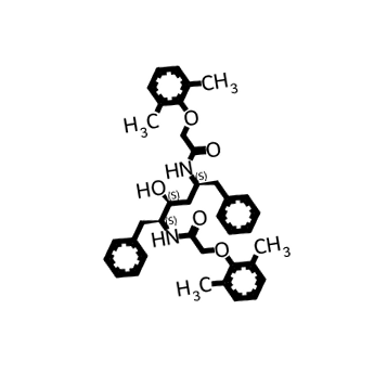 Cc1cccc(C)c1OCC(=O)N[C@@H](Cc1ccccc1)C[C@H](O)[C@H](Cc1ccccc1)NC(=O)COc1c(C)cccc1C